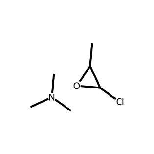 CC1OC1Cl.CN(C)C